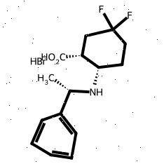 Br.C[C@H](N[C@H]1CCC(F)(F)C[C@H]1C(=O)O)c1ccccc1